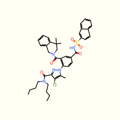 CCCCN(CCCC)C(=O)c1nn(-c2ccc(C(=O)NS(=O)(=O)c3ccc4ccccc4c3)cc2C(=O)N2Cc3ccccc3C(C)(C)C2)c(C)c1Cl